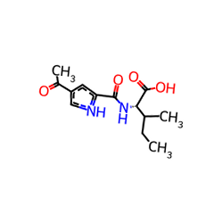 CCC(C)[C@H](NC(=O)c1cc(C(C)=O)c[nH]1)C(=O)O